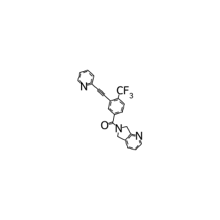 O=C(c1ccc(C(F)(F)F)c(C#Cc2ccccn2)c1)N1Cc2cccnc2C1